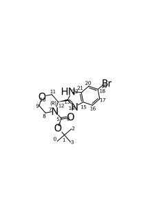 CC(C)(C)OC(=O)N1CCOC[C@H]1c1nc2ccc(Br)cc2[nH]1